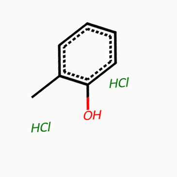 Cc1ccccc1O.Cl.Cl